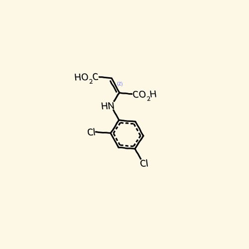 O=C(O)/C=C(\Nc1ccc(Cl)cc1Cl)C(=O)O